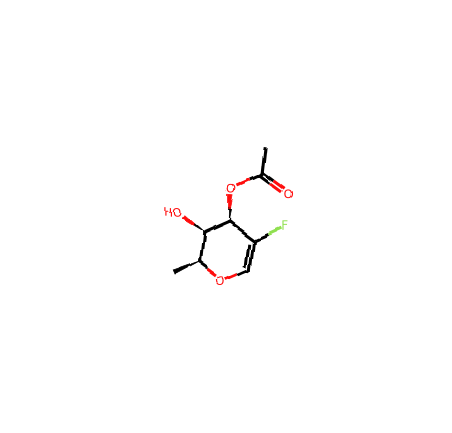 CC(=O)O[C@H]1C(F)=CO[C@@H](C)[C@H]1O